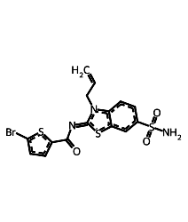 C=CCn1/c(=N/C(=O)c2ccc(Br)s2)sc2cc(S(N)(=O)=O)ccc21